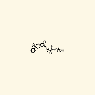 CN(C)[C@]1(c2ccccc2)CC[C@@]2(CC1)CC(=O)N(CCC(C)(C)C(=O)NCCC(C)(C)O)C2